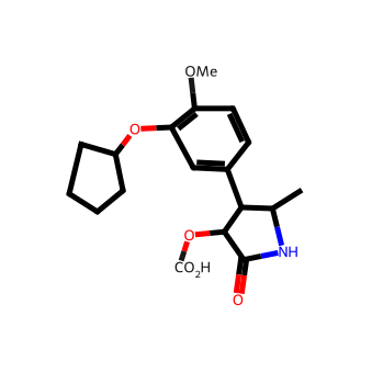 COc1ccc(C2C(C)NC(=O)C2OC(=O)O)cc1OC1CCCC1